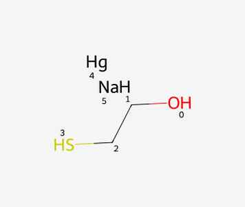 OCCS.[Hg].[NaH]